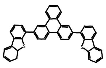 C1=CCC2Sc3c(cccc3-c3ccc4c5ccc(-c6cccc7c6sc6ccccc67)cc5c5ccccc5c4c3)C2=C1